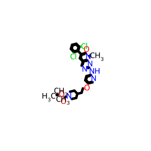 Cn1c(=O)c(-c2c(Cl)cccc2Cl)cc2cnc(Nc3ccc(OCCC4CCN(C(=O)OC(C)(C)C)CC4)cn3)nc21